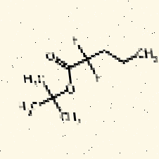 [CH2]CCC(F)(F)C(=O)OC(C)(C)C